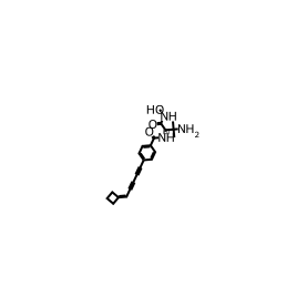 CC(C)(N)[C@H](NC(=O)c1ccc(C#CC#CC=C2CCC2)cc1)C(=O)NO